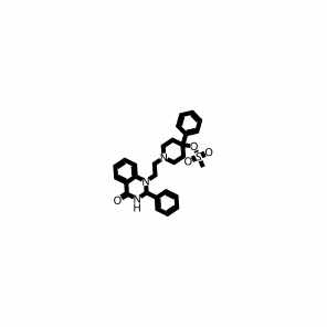 CS(=O)(=O)OC1(c2ccccc2)CCN(CCN2c3ccccc3C(=O)NC2c2ccccc2)CC1